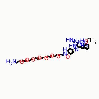 COc1cccc2cc(-c3nc([C@H]4CC[C@H](C(=O)NCCOCCOCCOCCOCCOCCOCCOCCN)CC4)[nH]c3/C(N)=N\C=N)[nH]c12